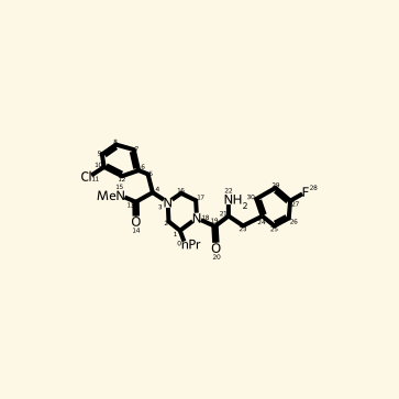 CCCC1CN(C(Cc2cccc(Cl)c2)C(=O)NC)CCN1C(=O)C(N)Cc1ccc(F)cc1